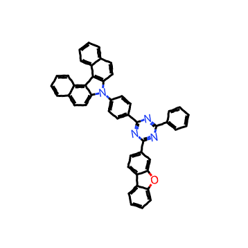 c1ccc(-c2nc(-c3ccc(-n4c5ccc6ccccc6c5c5c6ccccc6ccc54)cc3)nc(-c3ccc4c(c3)oc3ccccc34)n2)cc1